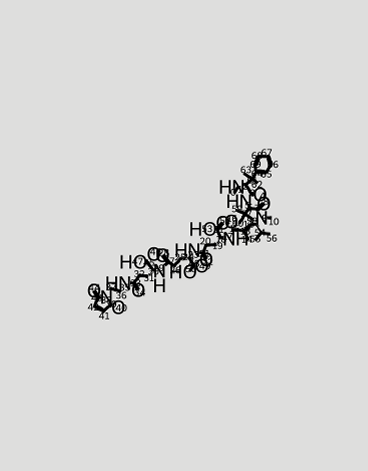 CN[C@H](C(=O)NC(C(=O)N(C)[C@H](/C=C(\C)C(=O)N[C@H](CCC(=O)N[C@H](CCC(=O)N[C@H](CCC(=O)NCCN1C(=O)C=CC1=O)C(=O)O)C(=O)O)C(=O)O)C(C)C)C(C)(C)C)C(C)(C)c1ccccc1